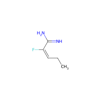 CC/C=C(/F)C(=N)N